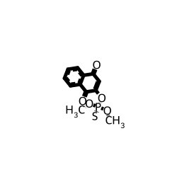 COP(=S)(OC)OC1=CC(=O)c2ccccc2C1=O